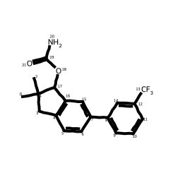 CC1(C)Cc2ccc(-c3cccc(C(F)(F)F)c3)cc2C1OC(N)=O